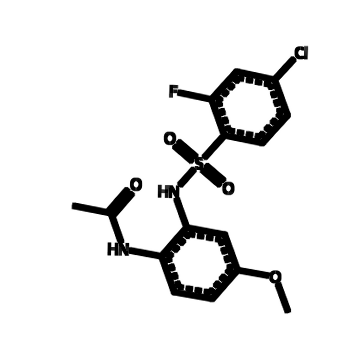 COc1ccc(NC(C)=O)c(NS(=O)(=O)c2ccc(Cl)cc2F)c1